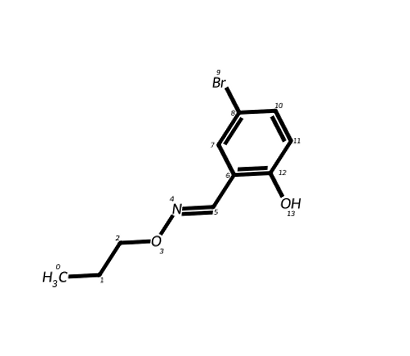 CCCO/N=C/c1cc(Br)ccc1O